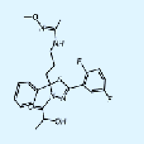 CON=C(C)NCCCC1(c2ccccc2)SC(c2cc(F)ccc2F)=NN1C(=O)C(C)O